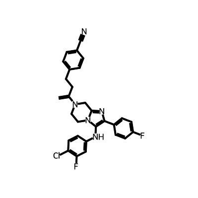 C=C(CCc1ccc(C#N)cc1)N1CCn2c(nc(-c3ccc(F)cc3)c2Nc2ccc(Cl)c(F)c2)C1